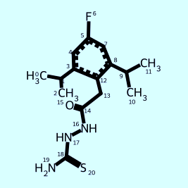 CC(C)c1cc(F)cc(C(C)C)c1CC(=O)NNC(N)=S